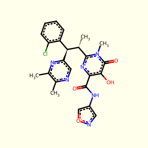 Cc1ncc([C@@H](c2ccccc2Cl)[C@H](C)c2nc(C(=O)Nc3cnoc3)c(O)c(=O)n2C)nc1C